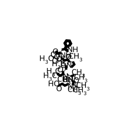 CC[C@H](C)[C@@H]([C@@H](CC(=O)N1CCC[C@H]1[C@H](OC)[C@@H](C)C(=O)N[C@@H](Cc1c[nH]c2ccccc12)C(=O)OC(C)(C)C)OC)N(C)C[C@@H](NC(=O)[C@H](C(C)C)N(C)CCCC(=O)O)C(C)C